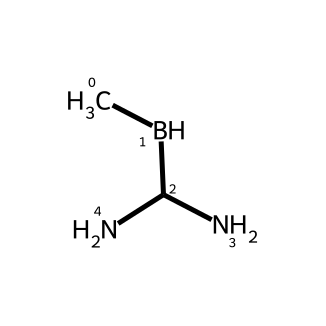 CBC(N)N